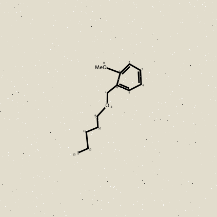 COc1ccccc1COCCCCI